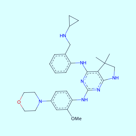 COc1cc(N2CCOCC2)ccc1Nc1nc2c(c(Nc3ccccc3CNC3CC3)n1)C(C)(C)CN2